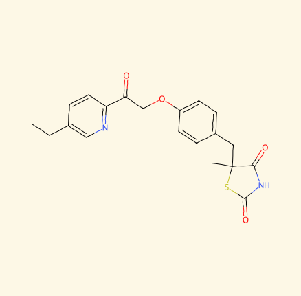 CCc1ccc(C(=O)COc2ccc(CC3(C)SC(=O)NC3=O)cc2)nc1